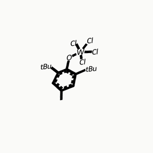 Cc1cc(C(C)(C)C)c([O][W]([Cl])([Cl])([Cl])[Cl])c(C(C)(C)C)c1